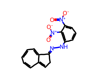 O=[N+]([O-])c1cccc(NN=C2CC=C3C=CC=CC=C32)c1[N+](=O)[O-]